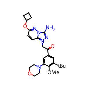 COc1c(N2CCOCC2)cc(C(=O)C[n+]2nc(N)n3nc(OC4CCC4)ccc32)cc1C(C)(C)C